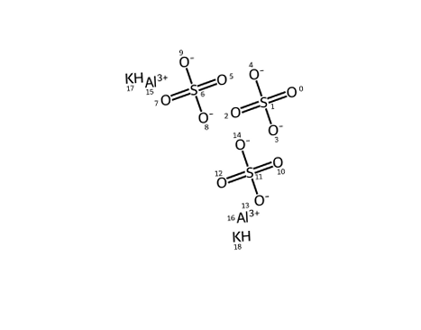 O=S(=O)([O-])[O-].O=S(=O)([O-])[O-].O=S(=O)([O-])[O-].[Al+3].[Al+3].[KH].[KH]